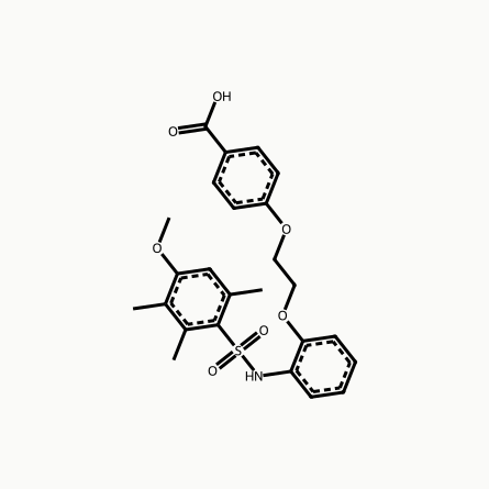 COc1cc(C)c(S(=O)(=O)Nc2ccccc2OCCOc2ccc(C(=O)O)cc2)c(C)c1C